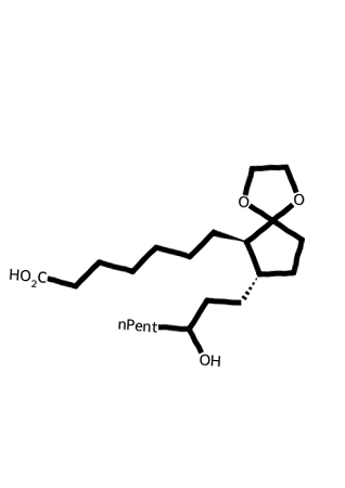 CCCCCC(O)CC[C@H]1CCC2(OCCO2)[C@@H]1CCCCCCC(=O)O